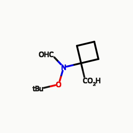 CC(C)(C)ON(C=O)C1(C(=O)O)CCC1